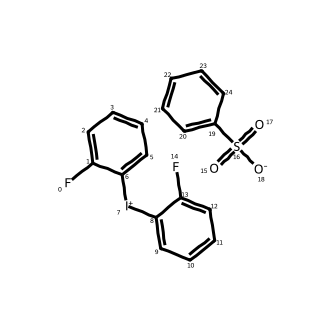 Fc1ccccc1[I+]c1ccccc1F.O=S(=O)([O-])c1ccccc1